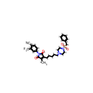 CC1=C(CCCCCN2CCN(S(=O)(=O)Cc3ccccc3)CC2)C(=O)N(c2ccc(C#N)c(C(F)(F)F)c2)C1=O